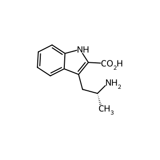 C[C@@H](N)Cc1c(C(=O)O)[nH]c2ccccc12